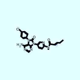 CC/C=C/C(=O)N(C)c1ccc(-n2c(=O)n(-c3ccc(Cl)cc3)c3c(N)ncnc32)cn1